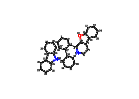 c1ccc(-c2nccc3c2oc2ccccc23)c(-c2ccccc2-n2c3ccccc3c3ccccc32)c1